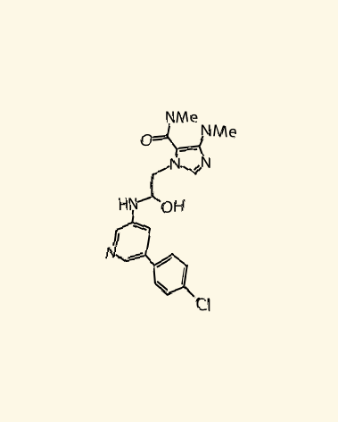 CNC(=O)c1c(NC)ncn1CC(O)Nc1cncc(-c2ccc(Cl)cc2)c1